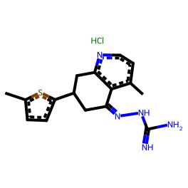 Cc1ccc(C2C/C(=N/NC(=N)N)c3c(C)ccnc3C2)s1.Cl